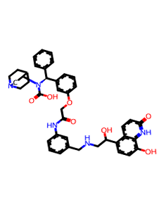 O=C(COc1cccc([C@H](c2ccccc2)N(C(=O)O)C2CN3CCC2CC3)c1)Nc1cccc(CNCC(O)c2ccc(O)c3[nH]c(=O)ccc23)c1